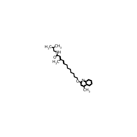 CC(/C=C/CCCCCCCOc1cc(C)c2ccccc2n1)=C\C(=O)NCC(C)C